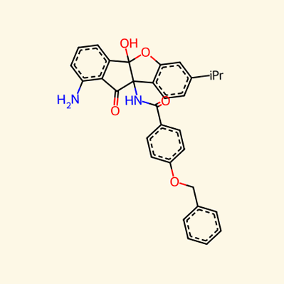 CC(C)c1ccc2c(c1)OC1(O)c3cccc(N)c3C(=O)C21NC(=O)c1ccc(OCc2ccccc2)cc1